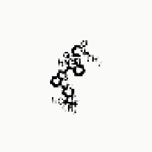 CCn1cc(S(=O)(=O)NC(c2cc3cccc(-c4cc([C@](C)(O)C(F)(F)F)ccn4)c3s2)c2ccccc2Cl)ccc1=O